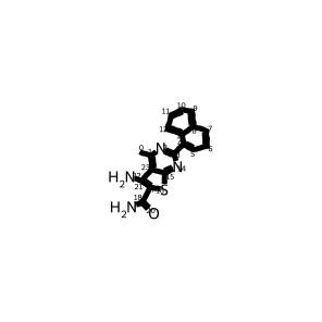 Cc1nc(-c2cccc3ccccc23)nc2sc(C(N)=O)c(N)c12